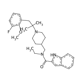 CCN(CC1CCN(C(C)(C)Cc2cccc(F)c2OC)CC1)C(=O)c1cc2ccccc2[nH]1